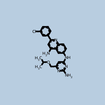 CC(C)OCc1cc(Nc2ccc3nc(-c4cccc(Cl)c4)cc(N)c3c2)nc(N)n1